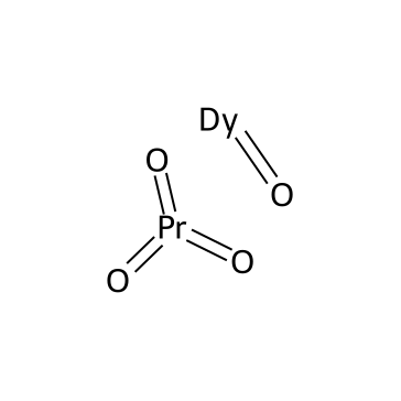 [O]=[Dy].[O]=[Pr](=[O])=[O]